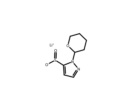 O=S([O-])c1ccnn1C1CCCCO1.[Li+]